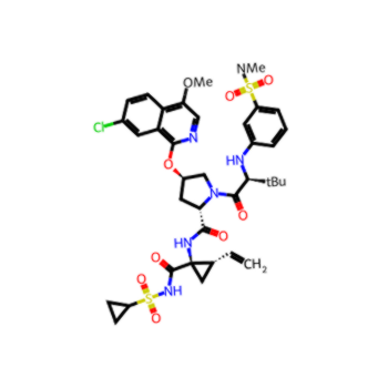 C=C[C@@H]1C[C@]1(NC(=O)[C@@H]1C[C@@H](Oc2ncc(OC)c3ccc(Cl)cc23)CN1C(=O)[C@@H](Nc1cccc(S(=O)(=O)NC)c1)C(C)(C)C)C(=O)NS(=O)(=O)C1CC1